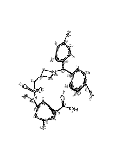 O=C(O)c1cc(F)cc(NS(=O)(=O)CC2CN(C(c3ccc(Br)cc3)c3ccc(Br)cc3)C2)c1